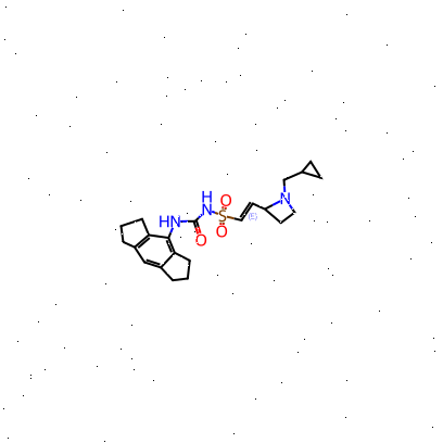 O=C(Nc1c2c(cc3c1CCC3)CCC2)NS(=O)(=O)/C=C/C1CCN1CC1CC1